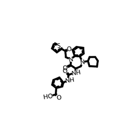 O=C(Nc1cccc(C(=O)O)c1)N[C@@H]1CN(C2CCCCC2)c2ccccc2N(CC(=O)c2cccs2)C1=O